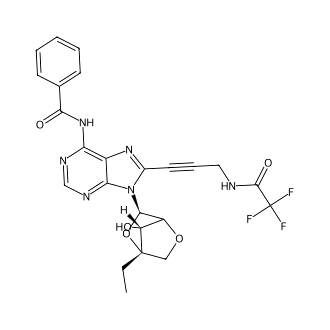 CC[C@@]12COC([C@H](n3c(C#CCNC(=O)C(F)(F)F)nc4c(NC(=O)c5ccccc5)ncnc43)O1)[C@H]2O